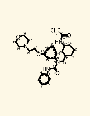 O=C(Nc1ccccc1)N(CC1CCCC(NC(=O)C(Cl)(Cl)Cl)C1)c1cccc(OCCN2CCOCC2)c1